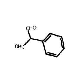 O=[C]C(C=O)c1ccccc1